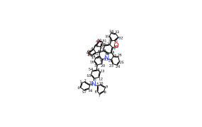 c1ccc(N(c2ccccc2)c2ccc(-c3ccc4c(c3)-n3c5ccccc5c5c6oc7ccccc7c6cc(c53)C43c4ccccc4-c4ccccc43)cc2)cc1